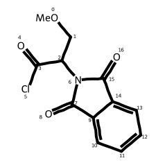 COCC(C(=O)Cl)N1C(=O)c2ccccc2C1=O